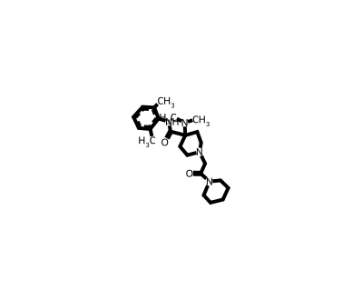 Cc1cccc(C)c1NC(=O)C1(N(C)C)CCN(CC(=O)N2CCCCC2)CC1